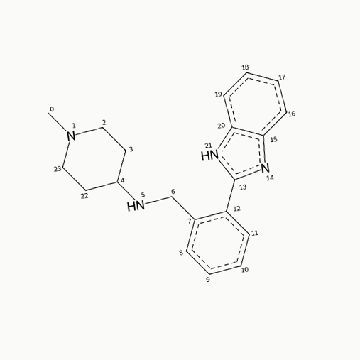 CN1CCC(NCc2ccccc2-c2nc3ccccc3[nH]2)CC1